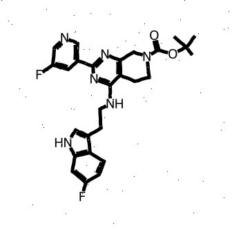 CC(C)(C)OC(=O)N1CCc2c(nc(-c3cncc(F)c3)nc2NCCc2c[nH]c3cc(F)ccc23)C1